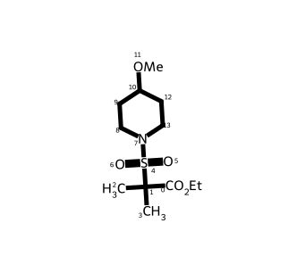 CCOC(=O)C(C)(C)S(=O)(=O)N1CCC(OC)CC1